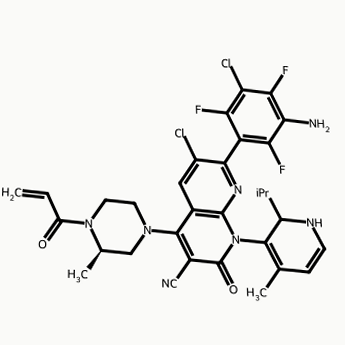 C=CC(=O)N1CCN(c2c(C#N)c(=O)n(C3=C(C)C=CNC3C(C)C)c3nc(-c4c(F)c(N)c(F)c(Cl)c4F)c(Cl)cc23)C[C@H]1C